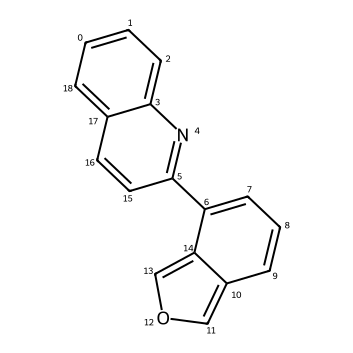 c1ccc2nc(-c3cccc4cocc34)ccc2c1